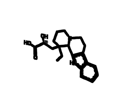 CCC1(C[C@@H](O)C(=O)O)CCCN2CCc3c([nH]c4ccccc34)C21